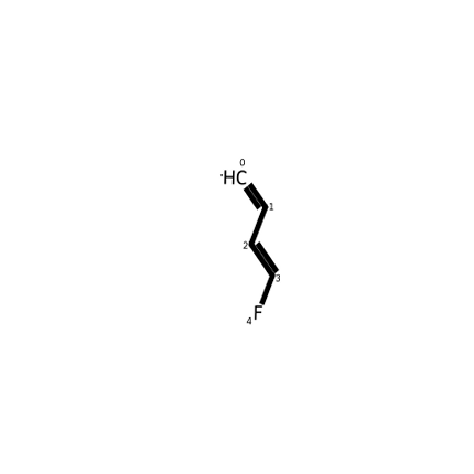 [CH]=CC=CF